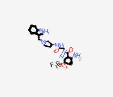 Nc1ccc(OC(F)(F)F)cc1C(=O)NCC(=O)N[C@@H]1CCN(Cc2c[nH]c3ccccc23)C1